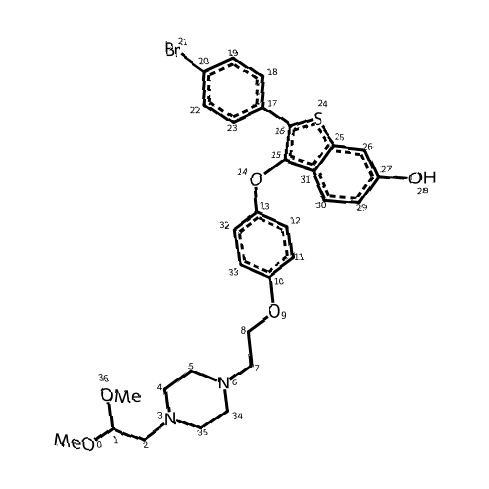 COC(CN1CCN(CCOc2ccc(Oc3c(-c4ccc(Br)cc4)sc4cc(O)ccc34)cc2)CC1)OC